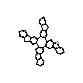 c1ccc2c(c1)Cc1cc3c(cc1-2)-c1cc2c(cc1-c1cc4oc5ccccc5c4cc1-c1cc4c(cc1-3)oc1ccccc14)Cc1ccccc1-2